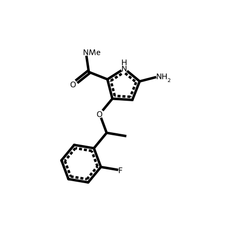 CNC(=O)c1[nH]c(N)cc1OC(C)c1ccccc1F